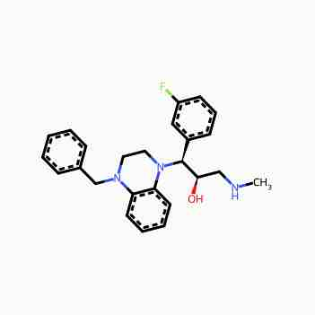 CNC[C@@H](O)[C@H](c1cccc(F)c1)N1CCN(Cc2ccccc2)c2ccccc21